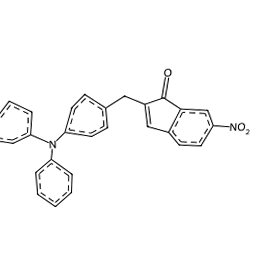 O=C1C(Cc2ccc(N(c3ccccc3)c3ccccc3)cc2)=Cc2ccc([N+](=O)[O-])cc21